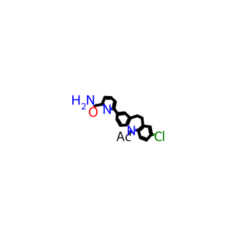 CC(=O)N1c2ccc(Cl)cc2CCc2cc(-c3cccc(C(N)=O)n3)ccc21